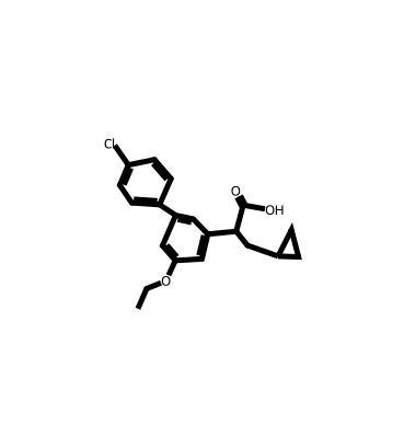 CCOc1cc(-c2ccc(Cl)cc2)cc(C(CC2CC2)C(=O)O)c1